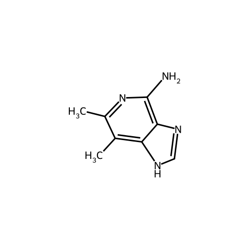 Cc1nc(N)c2nc[nH]c2c1C